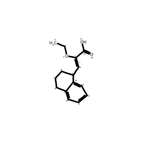 CCO/C(=C\C1CCCc2ccccc21)C(=O)O